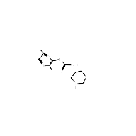 Oc1ncc(Br)nc1NC(=S)N[C@H]1CNC[C@@H](O)C1